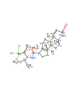 C=C(C(NC(=O)C1CC[C@H]2[C@@H]3CCC4NC(=O)C=C[C@]4(C)[C@@H]3CC[C@]12C)C(C)C)C(F)(F)F